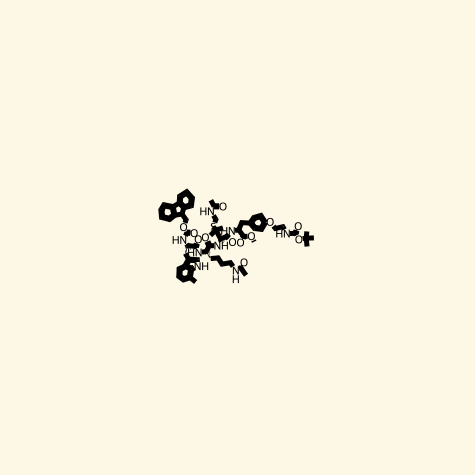 COC(=O)C(Cc1ccc(OCCNC(=O)OC(C)(C)C)cc1)NC(=O)[C@@H](NC(=O)[C@H](CCCCNC(C)=O)NC(=O)[C@H](Cc1c[nH]c2c(C)cccc12)NC(=O)OCC1c2ccccc2-c2ccccc21)C(C)(C)SCNC(C)=O